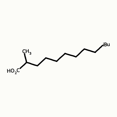 CCC(C)CCCCCCCC(C)C(=O)O